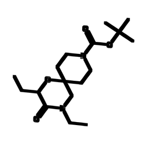 CCC1OC2(CCN(C(=O)OC(C)(C)C)CC2)CN(CC)C1=O